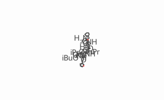 CCCC(NC(=O)[C@@H]1C[C@@H](OCc2ccccc2)CN1C(=O)C(NC(=O)OCC(C)C)C(C)C)C(=O)C(=O)NCC(=O)NC(CC1CCCCC1)C(N)=O